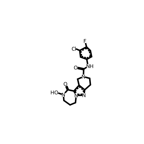 O=C1c2c3c(nn2CCCN1O)CCN(C(=O)Nc1ccc(F)c(Cl)c1)C3